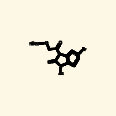 CCCCCCCCCCOCC(=O)C1C(=O)N(C(C)=O)c2ccc(Br)cc21